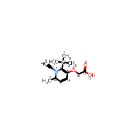 C#CN1C([Si](C)(C)C)=C(OCC(=O)O)C=CC1C